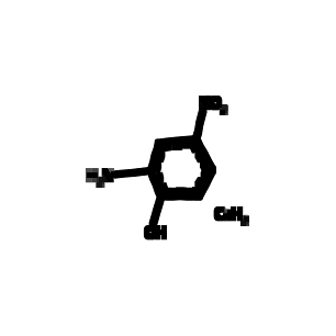 Nc1cc([N+](=O)[O-])ccc1O.[CaH2]